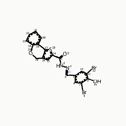 O=C(N/N=C/c1cc(Br)c(O)c(Br)c1)c1cc2c(s1)-c1ccccc1OC2